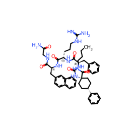 CCCCNC(=O)N[C@]1(C(=O)N[C@H](Cc2ccccc2)C(=O)N[C@@H](CCCNC(=N)N)C(=O)N[C@@H](Cc2ccc3ccccc3c2)C(=O)NCC(N)=O)CC[C@H](c2ccccc2)CC1